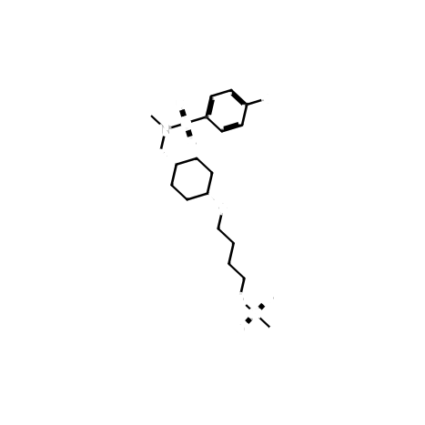 CN(C[C@H]1CC[C@@H](OCCCCOS(C)(=O)=O)CC1)S(=O)(=O)c1ccc(Cl)cc1